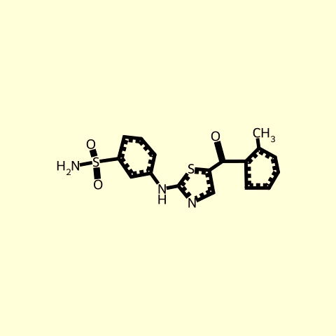 Cc1ccccc1C(=O)c1cnc(Nc2cccc(S(N)(=O)=O)c2)s1